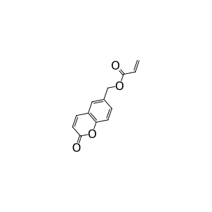 C=CC(=O)OCc1ccc2oc(=O)ccc2c1